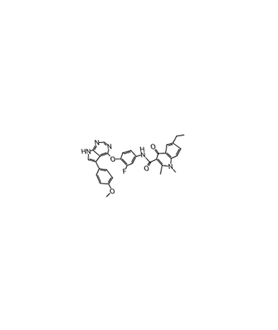 CCc1ccc2c(c1)c(=O)c(C(=O)Nc1ccc(Oc3ncnc4[nH]cc(-c5ccc(OC)cc5)c34)c(F)c1)c(C)n2C